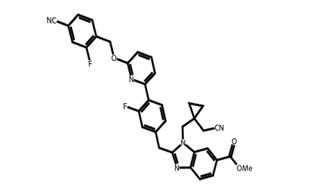 COC(=O)c1ccc2nc(Cc3ccc(-c4cccc(OCc5ccc(C#N)cc5F)n4)c(F)c3)n(CC3(CC#N)CC3)c2c1